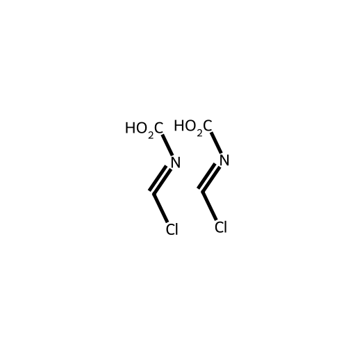 O=C(O)N=CCl.O=C(O)N=CCl